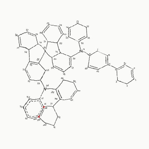 C1=CCCC(C2=CCC(N(C3=CCCC=C3)C3=CC=CC4C3C3C=CC=CC3C43C4=C(C=CC(N(C5=C(C6C=CCCC6)C=CCC5)c5ccccc5)C4)C4C=CC=CC43)C=C2)=C1